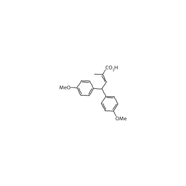 COc1ccc(C(/C=C(\C)C(=O)O)c2ccc(OC)cc2)cc1